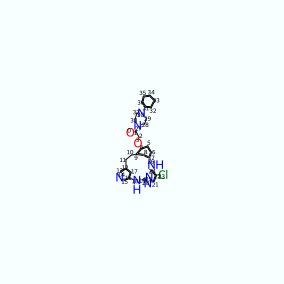 O=C(COc1ccc2cc1CCc1cncc(c1)Nc1ncc(Cl)c(n1)N2)N1CCN(c2ccccc2)CC1